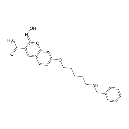 CC(=O)c1cc2ccc(OCCCCCNCc3ccccc3)cc2oc1=NO